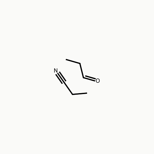 CCC#N.CCC=O